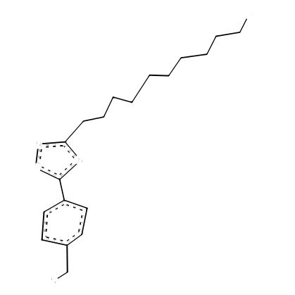 CCCCCCCCCCCc1noc(-c2ccc(C[NH])cc2)n1